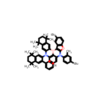 Cc1cc(C(C)(C)C)ccc1N1c2cc(C#N)cc3c2B(c2cc4c(cc2N3c2cc3c(cc2-c2ccccc2)C(C)(C)CCC3(C)C)C(C)(C)CCC4(C)C)c2c1oc1ccc(C(C)(C)C)cc21